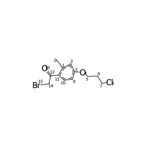 Cc1cc(OCCCCl)ccc1C(=O)CBr